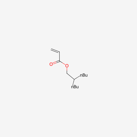 C=CC(=O)OCC(CCCC)CCCC